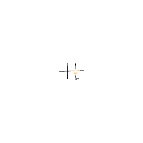 CC(C)[PH](C)(C)C(C)(C)C